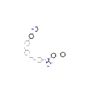 Nc1ncnc2c1c(-c1ccc(Oc3ccccc3)cc1)nn2C1CCN(CCCN2CCC(CN3CCC(c4ccc(-n5ccc(=O)[nH]c5=O)cc4)CC3)CC2)CC1